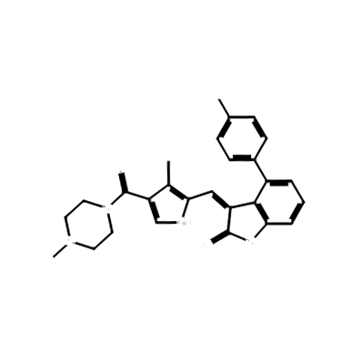 Cc1c(C(=O)N2CCN(C)CC2)c[nH]c1C=C1C(=O)Nc2cccc(-c3ccc(Cl)cc3)c21